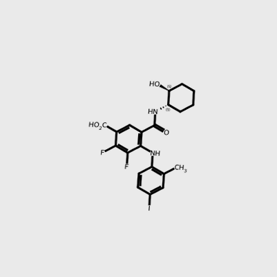 Cc1cc(I)ccc1Nc1c(C(=O)N[C@H]2CCCC[C@@H]2O)cc(C(=O)O)c(F)c1F